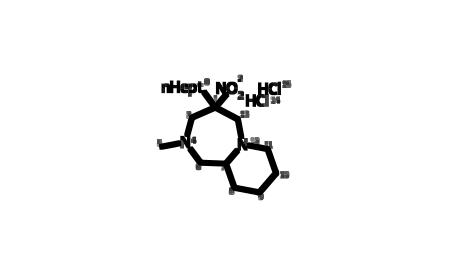 CCCCCCCC1([N+](=O)[O-])CN(C)CC2CCCCN2C1.Cl.Cl